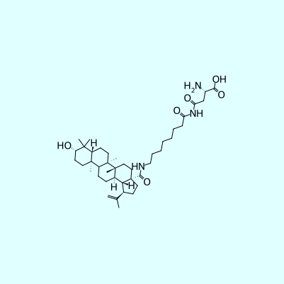 C=C(C)[C@@H]1CC[C@]2(C(=O)NCCCCCCCC(=O)NC(=O)C[C@H](N)C(=O)O)CC[C@]3(C)[C@H](CCC4[C@@]5(C)CC[C@H](O)C(C)(C)[C@@H]5CC[C@]43C)[C@@H]12